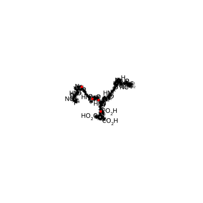 CN(CC(=O)NCCCCOc1ccc2nccc(C(=O)NCC(=O)N3CC(F)(F)C[C@H]3C#N)c2c1)[C@@H]1CCN(C(=O)CC[C@H](NC(=O)CCCCCC2(N(C)CC(=O)O)CN(CC(=O)O)CCN(CC(=O)O)C2)C(=O)N2CC[C@@H](N(C)CC(=O)NCCCCOc3ccc4nccc(C(=O)NCC(=O)N5CC(F)(F)C[C@H]5C#N)c4c3)C2)C1